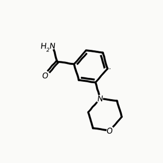 NC(=O)c1cc[c]c(N2CCOCC2)c1